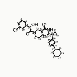 O=C([C@H](O)c1cccc(Cl)c1)N1CCc2nc(C3(c4cc(C5CCCCC5)cs4)CC3)[nH]c(=O)c2C1